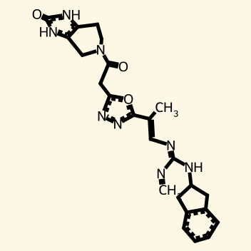 C=N/C(=N\C=C(/C)c1nnc(CC(=O)N2CCc3[nH]c(=O)[nH]c3C2)o1)NC1Cc2ccccc2C1